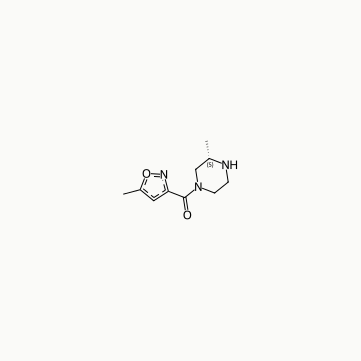 Cc1cc(C(=O)N2CCN[C@@H](C)C2)no1